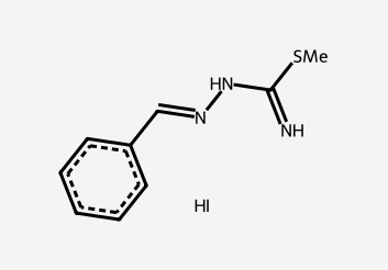 CSC(=N)NN=Cc1ccccc1.I